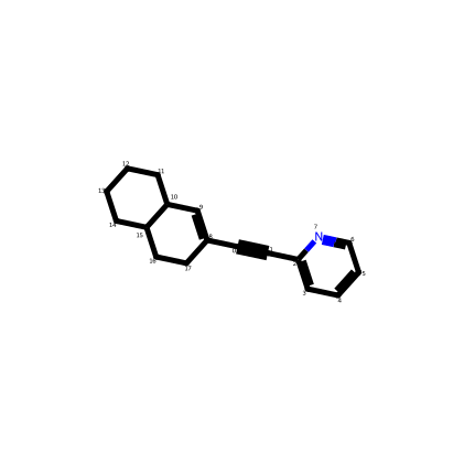 C(#Cc1ccccn1)C1=CC2CCCCC2CC1